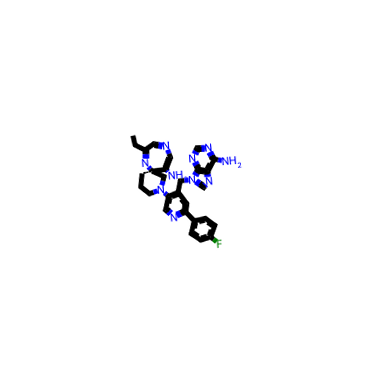 CCC1=N[C@@]2(CCCN(c3cnc(-c4ccc(F)cc4)cc3Cn3cnc4c(N)ncnc43)C2)C(N)=CN=C1